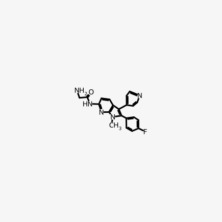 Cn1c(-c2ccc(F)cc2)c(-c2ccncc2)c2ccc(NC(=O)CN)nc21